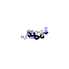 Cc1cc(-c2[nH]c3ccc(C4CCCN(C(=O)[C@@H]5CCN5)C4)cc3c2C(C)C)cc(C)n1